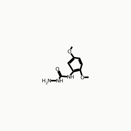 COc1ccc(OC)c(NC(=O)NN)c1